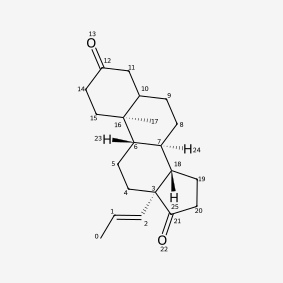 CC=C[C@]12CC[C@H]3[C@@H](CCC4CC(=O)CC[C@@]43C)[C@@H]1CCC2=O